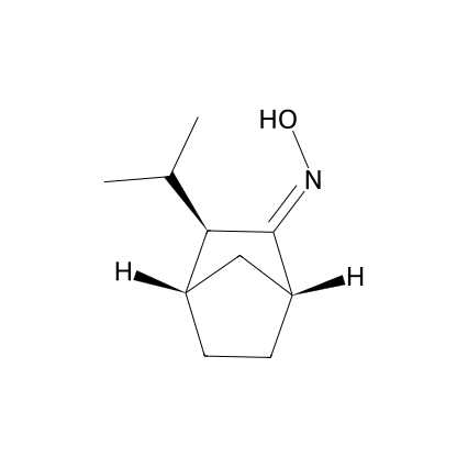 CC(C)[C@H]1/C(=N\O)[C@@H]2CC[C@H]1C2